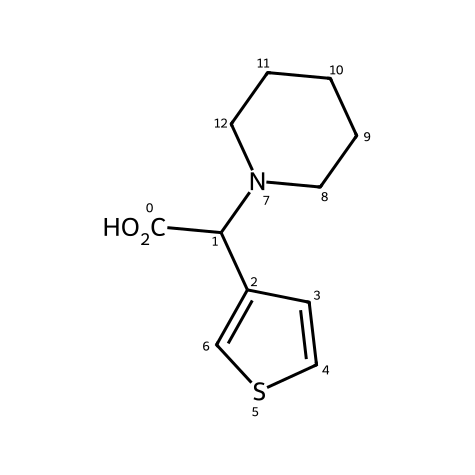 O=C(O)C(c1ccsc1)N1CCCCC1